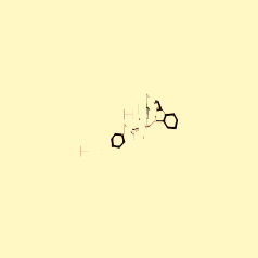 Cc1ccc(NC(=O)NCC2c3ccccc3-c3cncn32)cc1